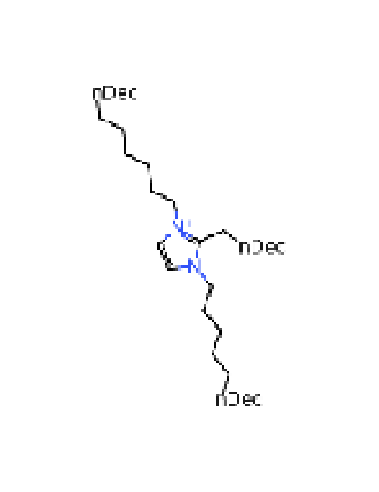 CCCCCCCCCCCCCCCC[n+]1ccn(CCCCCCCCCCCCCCC)c1CCCCCCCCCCC